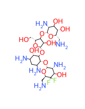 NC[C@@H]1O[C@H](O[C@H]2[C@@H](O)[C@H](O[C@@H]3[C@@H](O)[C@H](N)C[C@H](N)[C@H]3O[C@H]3O[C@H](CN)C(F)(F)[C@H](O)[C@H]3N)O[C@@H]2CO)[C@H](N)[C@@H](O)[C@@H]1O